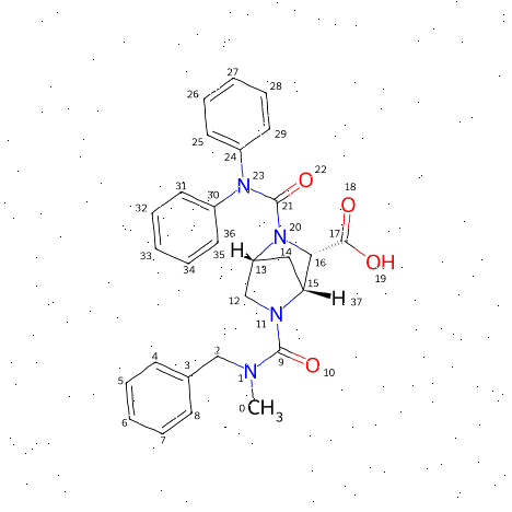 CN(Cc1ccccc1)C(=O)N1C[C@H]2C[C@@H]1[C@@H](C(=O)O)N2C(=O)N(c1ccccc1)c1ccccc1